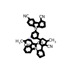 C=C(C)/C=C\c1c(C)n(-c2ccccc2C2=C(C#N)C(C)CC(c3cccc(-n4c5ccc(C#N)cc5c5c(C#N)cccc54)c3)=C2)c2ccccc12